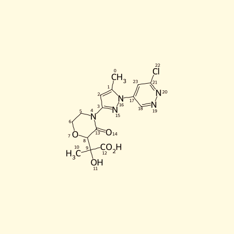 Cc1cc(N2CCOC(C(C)(O)C(=O)O)C2=O)nn1-c1cnnc(Cl)c1